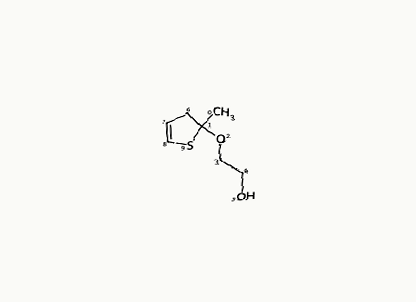 CC1(OCCO)CC=CS1